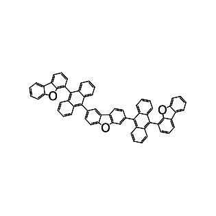 c1ccc2c(c1)oc1c(-c3c4ccccc4c(-c4ccc5c(c4)oc4ccc(-c6c7ccccc7c(-c7cccc8c7oc7ccccc78)c7ccccc67)cc45)c4ccccc34)cccc12